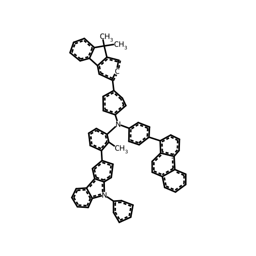 Cc1c(-c2ccc3c(c2)c2ccccc2n3-c2ccccc2)cccc1N(c1ccc(-c2ccc3c(c2)-c2ccccc2C3(C)C)cc1)c1ccc(-c2cccc3c2ccc2ccccc23)cc1